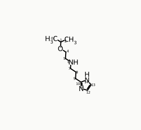 CC(C)OCCNCCCc1ncc[nH]1